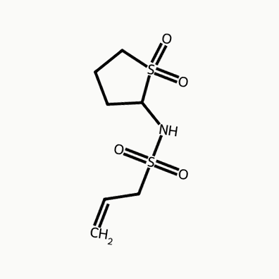 C=CCS(=O)(=O)NC1CCCS1(=O)=O